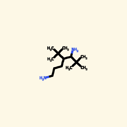 CC(C)(C)C(N)C(CCCN)C(C)(C)C